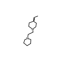 CC=C1CCN(CCN2CCCCC2)CC1